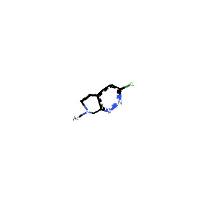 CC(=O)N1CCc2cc(Cl)nnc2C1